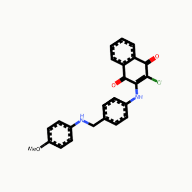 COc1ccc(NCc2ccc(NC3=C(Cl)C(=O)c4ccccc4C3=O)cc2)cc1